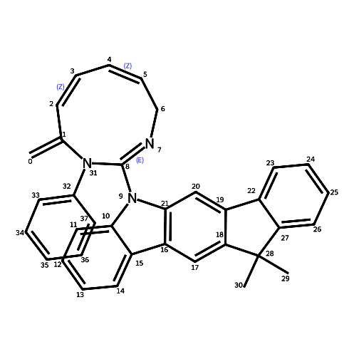 C=C1/C=C\C=C/C/N=C(/n2c3ccccc3c3cc4c(cc32)-c2ccccc2C4(C)C)N1c1ccccc1